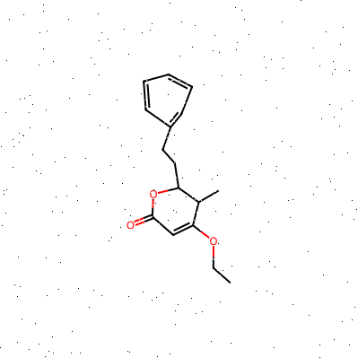 CCOC1=CC(=O)OC(CCc2ccccc2)C1C